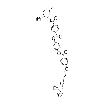 CCC1(COCCCCOc2ccc(C(=O)Oc3ccc(OC(=O)c4ccc(C(=O)OC5CC(C)CCC5C(C)C)cc4)cc3)cc2)COC1